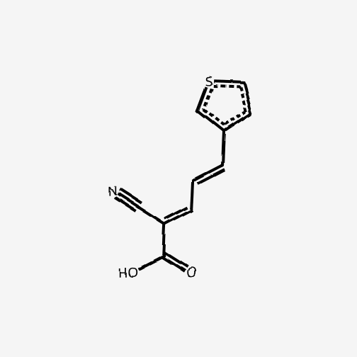 N#C/C(=C\C=C\c1ccsc1)C(=O)O